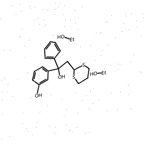 CCO.CCO.Oc1cccc(C(O)(CC2SCCCS2)c2ccccc2)c1